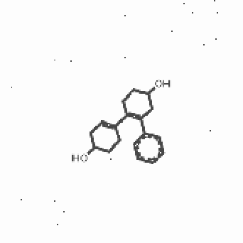 OC1CC=C(C2=C(c3ccccc3)CC(O)CC2)CC1